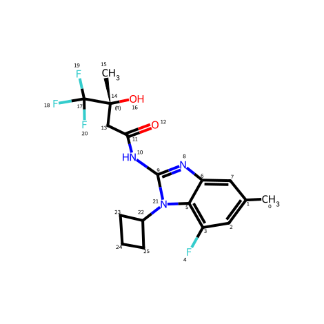 Cc1cc(F)c2c(c1)nc(NC(=O)C[C@@](C)(O)C(F)(F)F)n2C1CCC1